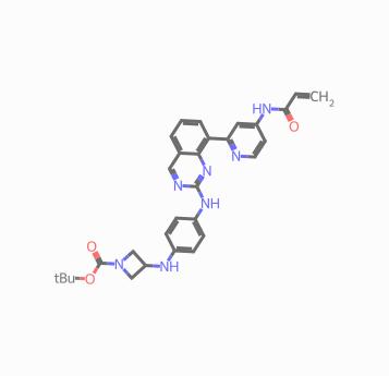 C=CC(=O)Nc1ccnc(-c2cccc3cnc(Nc4ccc(NC5CN(C(=O)OC(C)(C)C)C5)cc4)nc23)c1